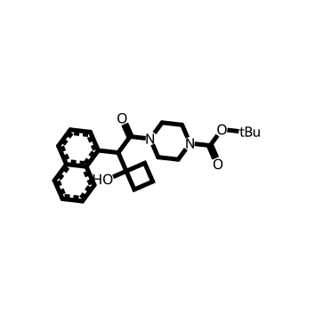 CC(C)(C)OC(=O)N1CCN(C(=O)C(c2cccc3ccccc23)C2(O)CCC2)CC1